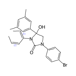 C/C=C\C(=C/C)N1C(=O)N(c2ccc(Br)cc2)CC1(O)c1cc(C)cc(C)c1